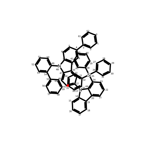 c1ccc(-c2ccc3c(c2)c2cc(-n4c5ccccc5c5cccc([Si](c6ccccc6)(c6ccccc6)c6ccccc6)c54)ccc2n3-c2ccccc2-c2ccccc2)cc1